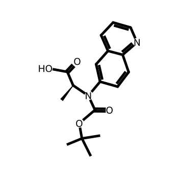 C[C@@H](C(=O)O)N(C(=O)OC(C)(C)C)c1ccc2ncccc2c1